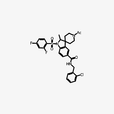 CC(=O)N1CCC2(CC1)c1cc(C(=O)NCc3ccccc3Cl)ccc1N(S(=O)(=O)c1ccc(F)cc1F)C2C